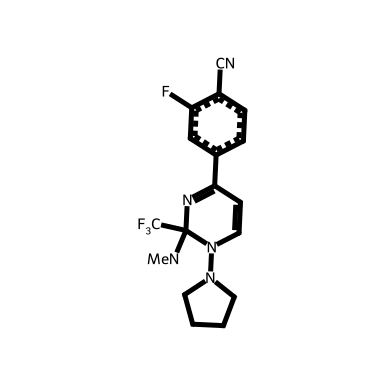 CNC1(C(F)(F)F)N=C(c2ccc(C#N)c(F)c2)C=CN1N1CCCC1